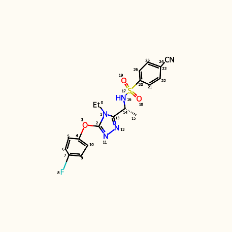 CCn1c(Oc2ccc(F)cc2)nnc1[C@@H](C)NS(=O)(=O)c1ccc(C#N)cc1